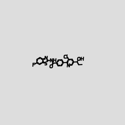 CCC(O)c1cnc(-c2ccc(C(=O)Nc3nc4ccc(F)cc4s3)cc2)c(Cl)c1